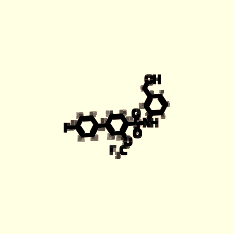 O=S(=O)(Nc1cccc(CO)c1)c1ccc(-c2ccc(F)cc2)cc1OC(F)(F)F